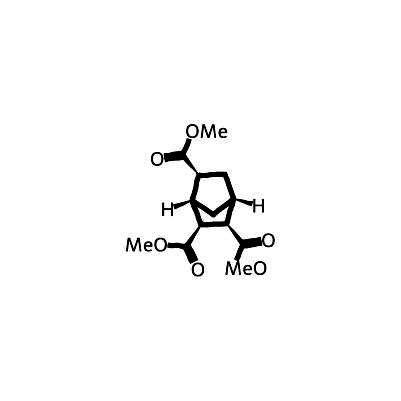 COC(=O)[C@@H]1[C@@H]2C[C@H]([C@@H]1C(=O)OC)[C@@H](C(=O)OC)C2